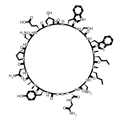 CCCC[C@H]1C(=O)N(C)[C@@H](CCCC)C(=O)N[C@@H](CN)C(=O)N[C@H](C(=O)NCC(N)=O)CSCC(=O)N[C@@H](Cc2ccc(O)cc2)C(=O)N(C)[C@@H](C)C(=O)N[C@@H](CC(N)=O)C(=O)N2CCC[C@H]2C(=O)N[C@@H](CN)C(=O)N[C@@H](CCC(=O)O)C(=O)N2C[C@H](O)C[C@H]2C(=O)N[C@@H](Cc2c[nH]c3ccccc23)C(=O)N[C@@H](CO)C(=O)N[C@@H](Cc2csc3ccccc23)C(=O)N1C